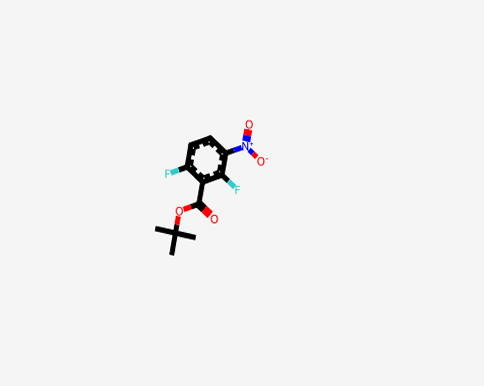 CC(C)(C)OC(=O)c1c(F)ccc([N+](=O)[O-])c1F